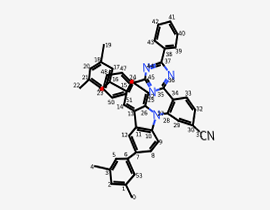 Cc1cc(C)cc(-c2ccc3c(c2)c2cc(-c4cc(C)cc(C)c4)ccc2n3-c2cc(C#N)ccc2-c2nc(-c3ccccc3)nc(-c3ccccc3)n2)c1